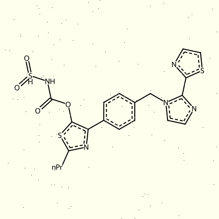 CCCc1nc(-c2ccc(Cn3ccnc3-c3nccs3)cc2)c(OC(=O)N[SH](=O)=O)s1